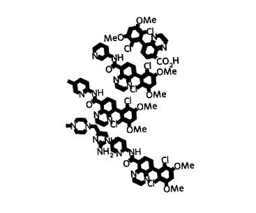 CN1CCN(Cc2c[nH]c(N)n2)CC1.COc1cc(OC)c(Cl)c(-c2ccc(C(=O)Nc3ccc(C)cn3)c3nccnc23)c1Cl.COc1cc(OC)c(Cl)c(-c2ccc(C(=O)Nc3ccccn3)c3nccnc23)c1Cl.COc1cc(OC)c(Cl)c(-c2ccc(C(=O)Nc3cccnc3)c3nccnc23)c1Cl.COc1cc(OC)c(Cl)c(-c2ccc(C(=O)O)c3nccnc23)c1Cl